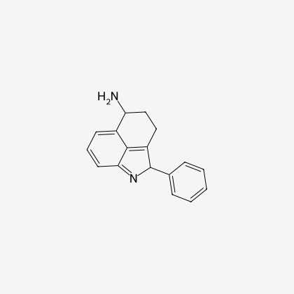 NC1CCC2=c3c1cccc3=NC2c1ccccc1